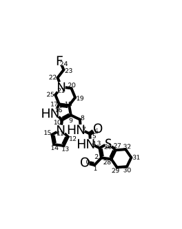 O=Cc1c(NC(=O)NCc2c(-n3cccc3)[nH]c3c2CCN(CCF)C3)sc2c1CCCC2